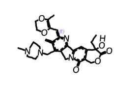 C=c1c(CN2CCN(C)CC2)c2c(n/c1=C/C1=C(C)OCCO1)-c1cc3c(c(=O)n1C2)COC(=O)C3(O)CC